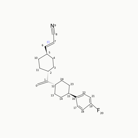 C=C([C@H]1CC[C@H](/C=C/C#N)CC1)[C@H]1CC[C@H](c2ccc(F)cc2)CC1